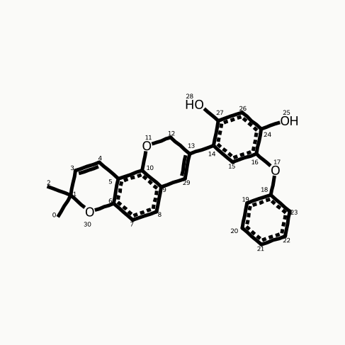 CC1(C)C=Cc2c(ccc3c2OCC(c2cc(Oc4ccccc4)c(O)cc2O)=C3)O1